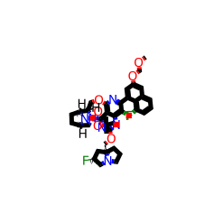 COCOc1cc(-c2nc3c4c(nc(OC[C@]56CCCN5C[C@H](F)C6)nc4c2F)N2C[C@@H]4CC[C@H]([C@H]2CO3)N4C(=O)OC(C)(C)C)c2c(F)cccc2c1